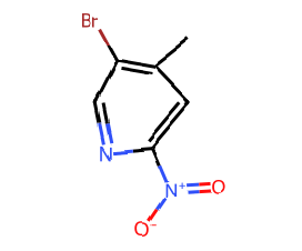 Cc1cc([N+](=O)[O-])ncc1Br